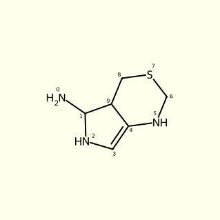 NC1NC=C2NCSCC21